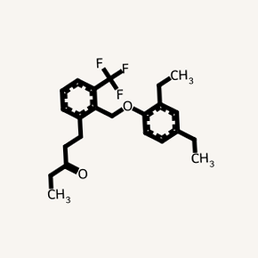 CCC(=O)CCc1cccc(C(F)(F)F)c1COc1ccc(CC)cc1CC